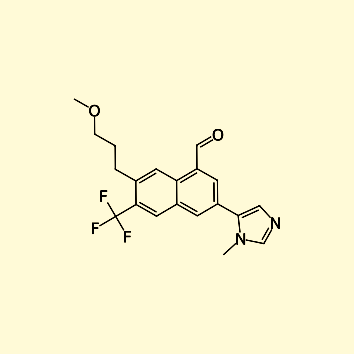 COCCCc1cc2c(C=O)cc(-c3cncn3C)cc2cc1C(F)(F)F